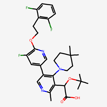 Cc1ncc(-c2cnc(OCCc3c(F)cccc3F)c(F)c2)c(N2CCC(C)(C)CC2)c1C(OC(C)(C)C)C(=O)O